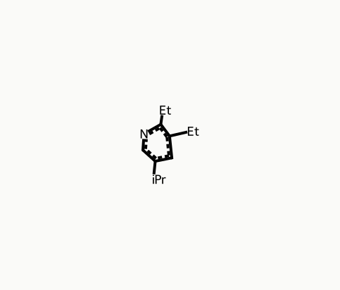 CCc1cc(C(C)C)cnc1CC